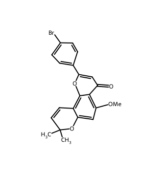 COc1cc2c(c3oc(-c4ccc(Br)cc4)cc(=O)c13)C=CC(C)(C)O2